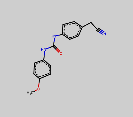 COc1ccc(NC(=O)Nc2ccc(CC#N)cc2)cc1